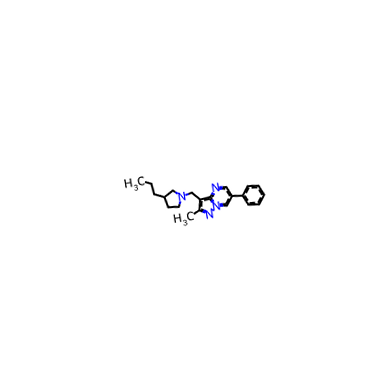 CCCC1CCN(Cc2c(C)nn3cc(-c4ccccc4)cnc23)C1